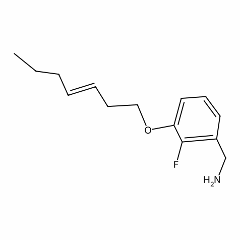 CCCC=CCCOc1cccc(CN)c1F